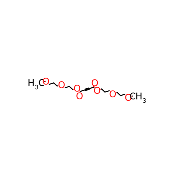 COCCCOCCCOC(=O)C#CC(=O)OCCCOCCCOC